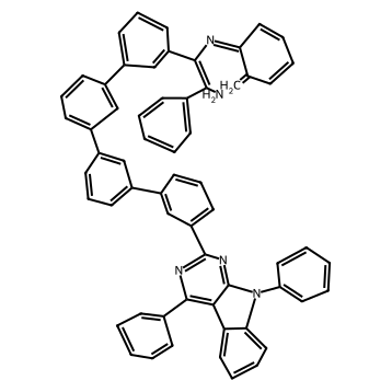 C=C1C=CC=C/C1=N/C(=C(\N)c1ccccc1)c1cccc(-c2cccc(-c3cccc(-c4cccc(-c5nc(-c6ccccc6)c6c7ccccc7n(-c7ccccc7)c6n5)c4)c3)c2)c1